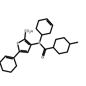 CC1CCC(C(=O)N(c2cc(C3=CCCCC3)sc2C(=O)O)C2CC=CCC2)CC1